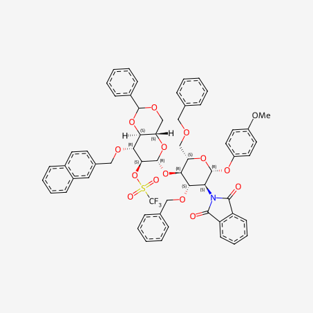 COc1ccc(O[C@H]2O[C@@H](COCc3ccccc3)[C@H](O[C@H]3O[C@H]4COC(c5ccccc5)O[C@@H]4[C@@H](OCc4ccc5ccccc5c4)[C@@H]3OS(=O)(=O)C(F)(F)F)[C@@H](OCc3ccccc3)[C@@H]2N2C(=O)c3ccccc3C2=O)cc1